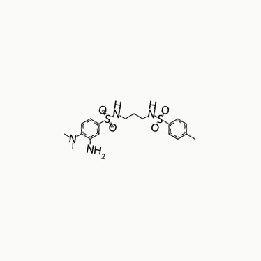 Cc1ccc(S(=O)(=O)NCCCNS(=O)(=O)c2ccc(N(C)C)c(N)c2)cc1